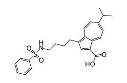 CC(C)c1ccc2c(CCCCNS(=O)(=O)c3ccccc3)cc(C(=O)O)c-2cc1